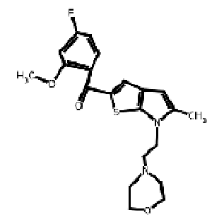 COc1cc(F)ccc1C(=O)c1cc2cc(C)n(CCN3CCOCC3)c2s1